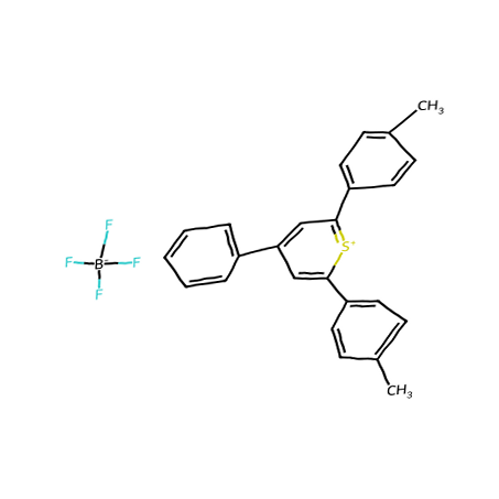 Cc1ccc(-c2cc(-c3ccccc3)cc(-c3ccc(C)cc3)[s+]2)cc1.F[B-](F)(F)F